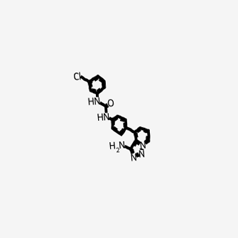 Nc1nnn2cccc(-c3ccc(NC(=O)Nc4cccc(Cl)c4)cc3)c12